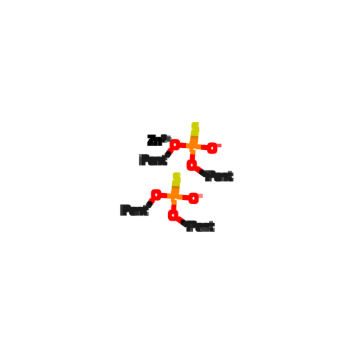 CCCC(C)OP([O-])(=S)OC(C)CCC.CCCC(C)OP([O-])(=S)OC(C)CCC.[Zn+2]